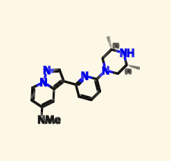 CNc1ccn2ncc(-c3cccc(N4C[C@@H](C)N[C@@H](C)C4)n3)c2c1